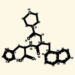 O=C(O)C(Cc1cscn1)NC(=O)[C@@H](CC(=O)N1CCOCC1)Cc1cccc2ccccc12